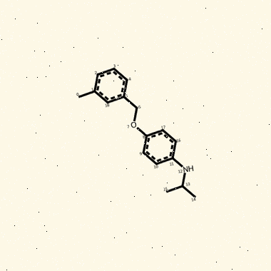 Cc1cccc(COc2ccc(NC(C)C)cc2)c1